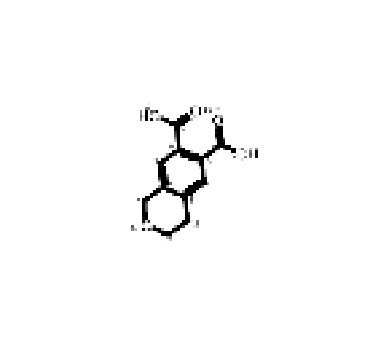 O=C(O)c1cc2c(cc1C(=O)O)COCC2